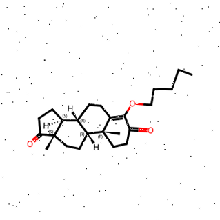 CCCCCOC1=C2CC[C@@H]3[C@@H](CC[C@]4(C)C(=O)CC[C@@H]34)[C@@]2(C)CCC1=O